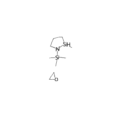 C1CO1.C[SiH]1CCCN1[Si](C)(C)C